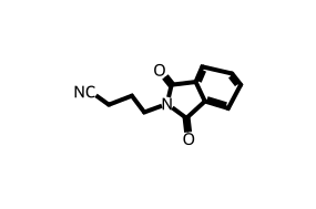 N#CCCCN1C(=O)c2ccccc2C1=O